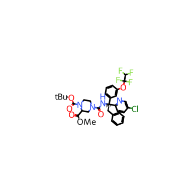 COC(=O)C1CN(C(=O)N[C@](Cc2ccccc2)(c2cccc(OC(F)(F)C(F)F)c2)c2ccc(Cl)cn2)CCN1C(=O)OC(C)(C)C